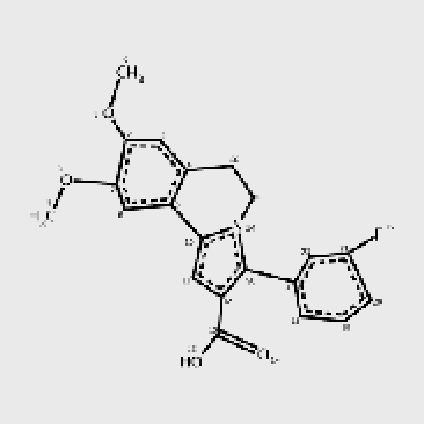 COc1cc2c(cc1OC)-c1cc(C(=O)O)c(-c3cccc(F)c3)n1CC2